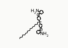 CCCCCCCCCCCCCCCCC(C)(c1ccc(Oc2ccccc2N)cc1)c1ccc(Oc2ccccc2N)cc1